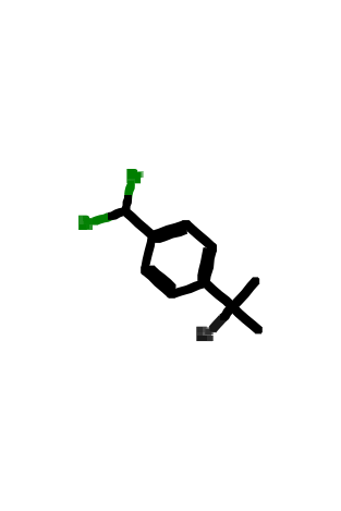 CCC(C)(C)c1ccc(C(Br)Br)cc1